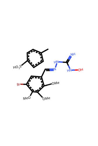 COc1c(Br)cc(C=NNC(=N)NO)c(OC)c1OC.Cc1ccc(S(=O)(=O)O)cc1